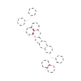 c1ccc(-c2ccccc2N(c2ccccc2)c2ccc3cc4c(cc3c2)oc2cc3cc(N(c5ccccc5)c5ccccc5-c5ccccc5)ccc3cc24)cc1